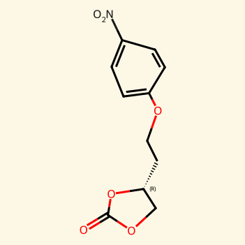 O=C1OC[C@@H](CCOc2ccc([N+](=O)[O-])cc2)O1